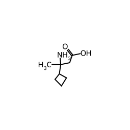 CC(N)(CC(=O)O)C1CCC1